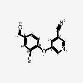 N#Cc1cncc(Oc2ccc(C=O)cc2Cl)c1